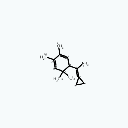 CC1=CC(C(N)=C2CC2)C(C)(C)C=C1C